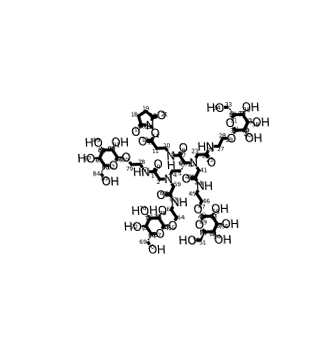 O=C(CN(CC[C@H](C(=O)NCCC(=O)ON1C(=O)CCC1=O)N(CC(=O)NCCO[C@H]1O[C@H](CO)[C@@H](O)[C@H](O)[C@@H]1O)CC(=O)NCCO[C@H]1O[C@H](CO)[C@@H](O)[C@H](O)[C@@H]1O)CC(=O)NCCO[C@H]1O[C@H](CO)[C@@H](O)[C@H](O)[C@@H]1O)NCCO[C@H]1O[C@H](CO)[C@@H](O)[C@H](O)[C@@H]1O